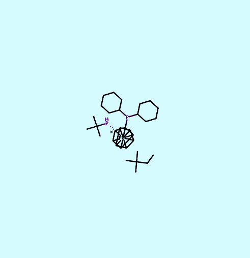 CC(C)(C)P[C@]12[CH]3[CH]4[CH]5[C]1(P(C1CCCCC1)C1CCCCC1)[Fe]45321678[CH]2[CH]1[CH]6[CH]7[CH]28.CCC(C)(C)C